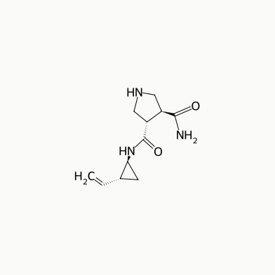 C=C[C@H]1C[C@@H]1NC(=O)[C@@H]1CNC[C@H]1C(N)=O